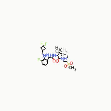 CC(C)(C)C(NC(=O)c1nn(CC2CC(F)(F)C2)c2c(F)cccc12)C(=O)NCCS(C)(=O)=O